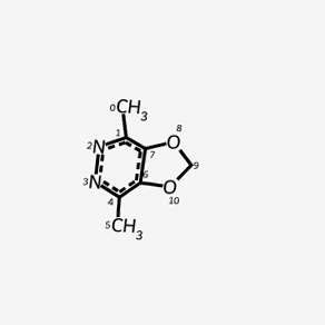 Cc1nnc(C)c2c1OCO2